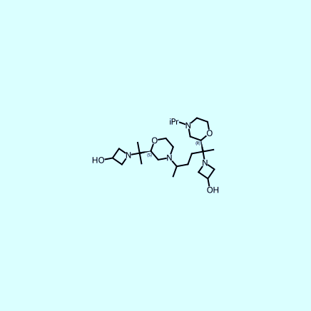 CC(C)N1CCO[C@@H](C(C)(CCC(C)N2CCO[C@H](C(C)(C)N3CC(O)C3)C2)N2CC(O)C2)C1